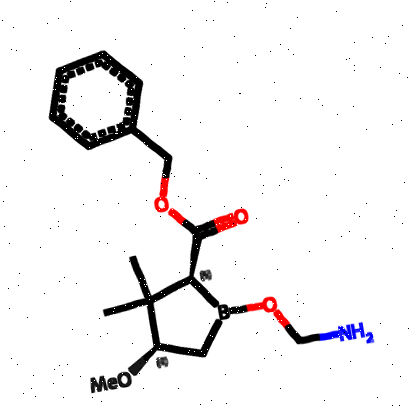 CO[C@@H]1CB(OCN)[C@H](C(=O)OCc2ccccc2)C1(C)C